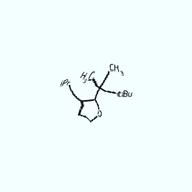 CC(C)C1CCOC1C(C)(C)C(C)(C)C